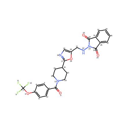 O=C(c1ccc(OC(F)(F)F)cc1)N1CCC(c2ncc(CNN3C(=O)c4ccccc4C3=O)o2)CC1